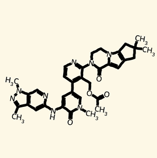 CC(=O)OCc1c(-c2cc(Nc3cc4c(C)nn(C)c4cn3)c(=O)n(C)c2)ccnc1N1CCn2c(cc3c2CC(C)(C)C3)C1=O